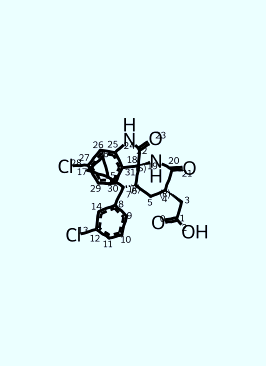 O=C(O)C[C@H]1C[C@H](C(c2cccc(Cl)c2)C2CC2)[C@@]2(NC1=O)C(=O)Nc1cc(Cl)ccc12